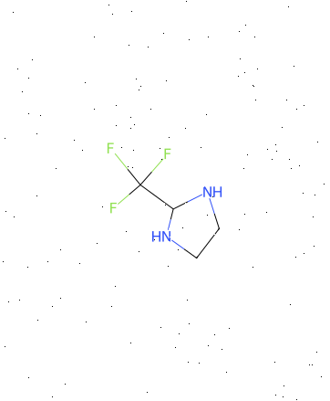 FC(F)(F)C1NCCN1